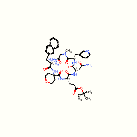 CN(CC(N)=O)C(=O)[C@H](Cc1cccnc1)NC(=O)[C@H](CC(N)=O)NC(=O)[C@H](CCC(=O)OC(C)(C)C)NC(=O)C1(NC(=O)[C@@H](N)Cc2ccc3ccccc3c2)CCOCC1